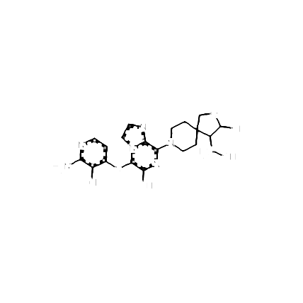 C[SiH2]C1C(C)OCC12CCN(c1nc(C)c(Sc3ccnc(N)c3Cl)n3ccnc13)CC2